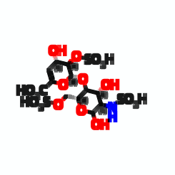 O=C(O)C1=C[C@H](O)[C@@H](OS(=O)(=O)O)[C@H](OC2[C@@H](COS(=O)(=O)O)OC(O)[C@H](NS(=O)(=O)O)[C@H]2O)O1